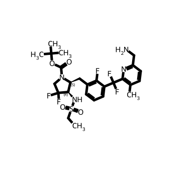 CCS(=O)(=O)N[C@@H]1[C@H](Cc2cccc(C(F)(F)c3nc(CN)ccc3C)c2F)N(C(=O)OC(C)(C)C)CC1(F)F